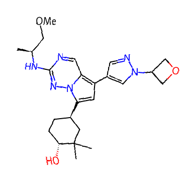 COC[C@H](C)Nc1ncc2c(-c3cnn(C4COC4)c3)cc([C@@H]3CC[C@@H](O)C(C)(C)C3)n2n1